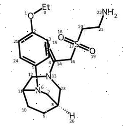 CCOc1ccc(N2C[C@@H]3CCC2CN(C(=O)CS(=O)(=O)CCN)C3)cc1